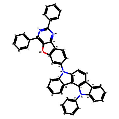 c1ccc(-c2nc(-c3ccccc3)c3oc4cc(-n5c6ccccc6c6c5ccc5c7ccccc7n(-c7ccccc7)c56)ccc4c3n2)cc1